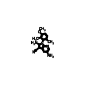 COc1ccc(C)c(-n2c(N)c(C#N)c3cc(N)cnc32)c1C